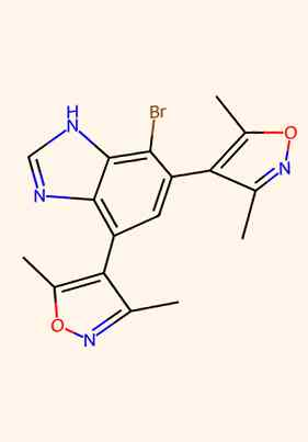 Cc1noc(C)c1-c1cc(-c2c(C)noc2C)c2nc[nH]c2c1Br